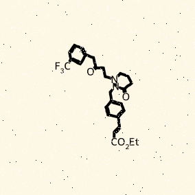 CCOC(=O)C=Cc1ccc(CN2C(=O)CCCN2CCC(=O)Cc2cccc(C(F)(F)F)c2)cc1